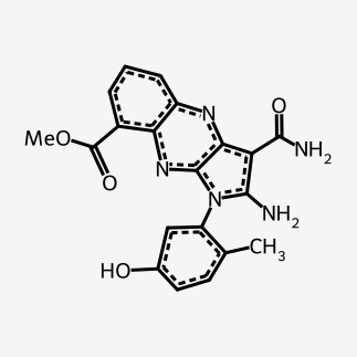 COC(=O)c1cccc2nc3c(C(N)=O)c(N)n(-c4cc(O)ccc4C)c3nc12